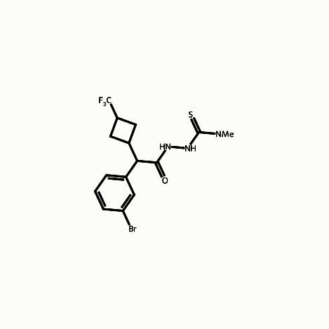 CNC(=S)NNC(=O)C(c1cccc(Br)c1)C1CC(C(F)(F)F)C1